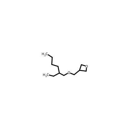 CCCCC(CC)COCC1COC1